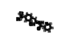 CCN(CC)c1ccc(/C=N/NC(=O)c2ccccn2)c(O)c1